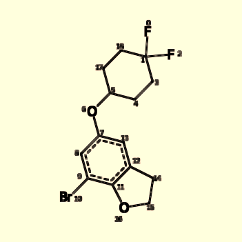 FC1(F)CCC(Oc2cc(Br)c3c(c2)CCO3)CC1